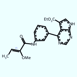 C/C=C(\OC)C(=O)Nc1cccc(-c2ncnc3[nH]cc(C(=O)OCC)c23)c1